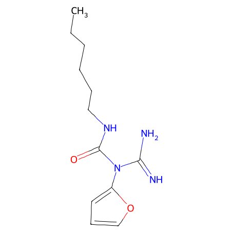 CCCCCCNC(=O)N(C(=N)N)c1ccco1